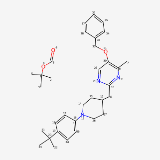 CC(C)(C)OC=O.Cc1nc(CC2CCN(c3ccc(C(C)(C)C)cc3)CC2)ncc1OCc1ccccc1